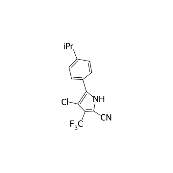 CC(C)c1ccc(-c2[nH]c(C#N)c(C(F)(F)F)c2Cl)cc1